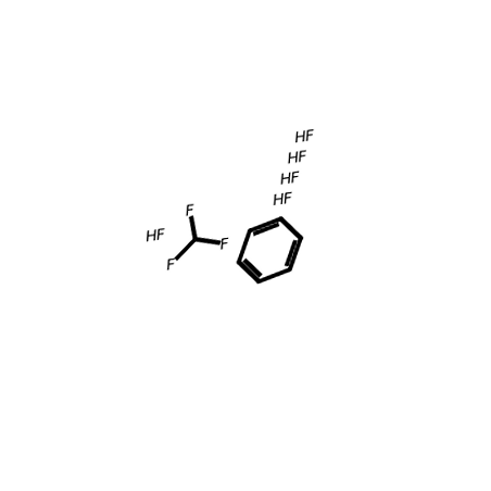 F.F.F.F.F.FC(F)F.c1ccccc1